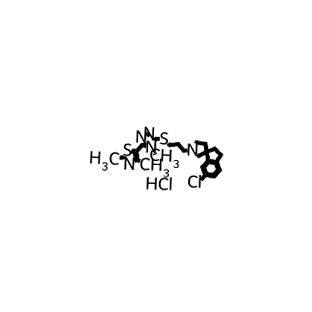 Cc1nc(C)c(-c2nnc(SCCCN3CCC4(CCc5ccc(Cl)cc54)C3)n2C)s1.Cl